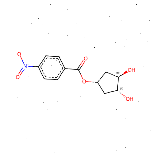 O=C(OC1C[C@@H](O)[C@H](O)C1)c1ccc([N+](=O)[O-])cc1